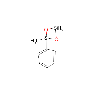 C[Si]1(c2ccccc2)O[SiH2]O1